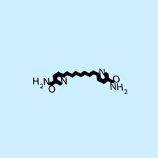 NC(=O)c1ccc(CCCCCCCc2ccc(C(N)=O)cn2)nc1